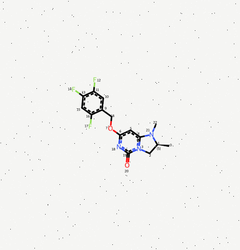 C[C@H]1Cn2c(cc(OCc3cc(F)c(F)cc3F)nc2=O)N1C